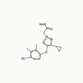 CNC(=O)Cn1cc(Oc2ccc(C#N)c(C)c2C)c(C2CC2)n1